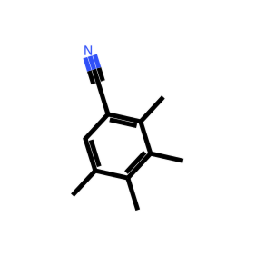 Cc1cc(C#N)c(C)c(C)c1C